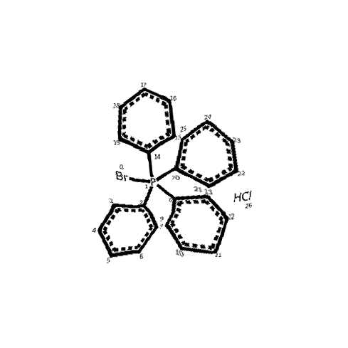 BrP(c1ccccc1)(c1ccccc1)(c1ccccc1)c1ccccc1.Cl